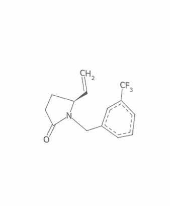 C=C[C@@H]1CCC(=O)N1Cc1cccc(C(F)(F)F)c1